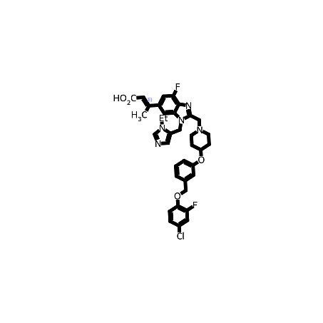 CCn1cncc1Cn1c(CN2CCC(Oc3cccc(COc4ccc(Cl)cc4F)c3)CC2)nc2c(F)cc(/C(C)=C/C(=O)O)cc21